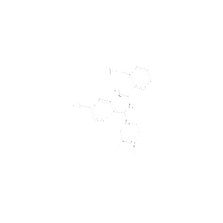 CC1CN(c2nc(-c3ccccc3O)nc3cc(Cl)ccc23)CCN1C